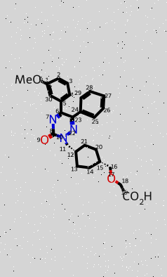 COc1cccc(-c2nc(=O)n(C[C@H]3CC[C@@H](COCC(=O)O)CC3)nc2-c2ccccc2)c1